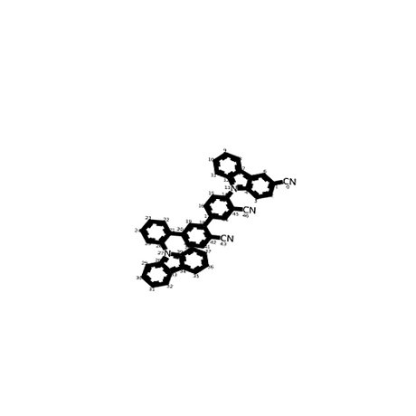 N#Cc1ccc2c(c1)c1ccccc1n2-c1ccc(-c2cc(-c3ccccc3-n3c4ccccc4c4ccccc43)ccc2C#N)cc1C#N